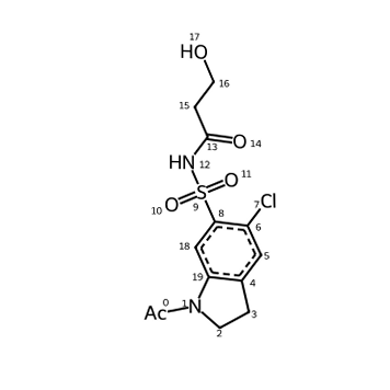 CC(=O)N1CCc2cc(Cl)c(S(=O)(=O)NC(=O)CCO)cc21